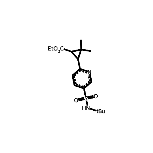 CCOC(=O)C1C(c2ccc(S(=O)(=O)NC(C)(C)C)cn2)C1(C)C